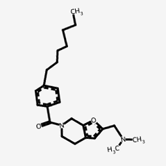 CCCCCCCc1ccc(C(=O)N2CCc3cc(CN(C)C)oc3C2)cc1